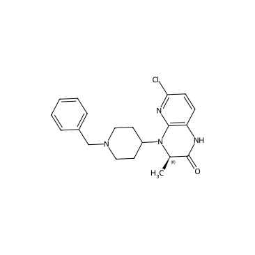 C[C@@H]1C(=O)Nc2ccc(Cl)nc2N1C1CCN(Cc2ccccc2)CC1